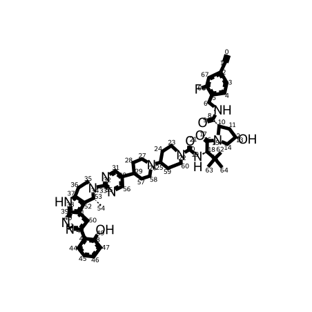 C#Cc1ccc(CNC(=O)[C@@H]2C[C@@H](O)CN2C(=O)[C@@H](NC(=O)N2CCC(N3CCC(c4cnc(N5CCc6[nH]c7nnc(-c8ccccc8O)cc7c6[C@H]5C)nc4)CC3)CC2)C(C)(C)C)c(F)c1